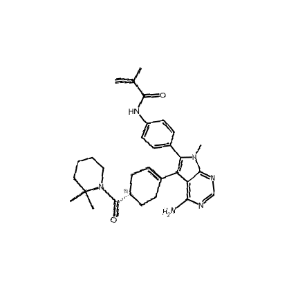 C=C(C)C(=O)Nc1ccc(-c2c(C3=CC[C@@H](C(=O)N4CCCCC4(C)C)CC3)c3c(N)ncnc3n2C)cc1